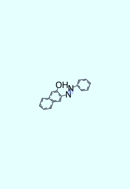 Oc1cc2ccccc2cc1/N=N/c1ccccc1